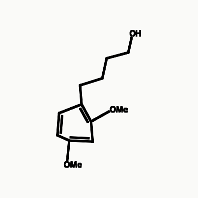 COc1ccc(CCCCO)c(OC)c1